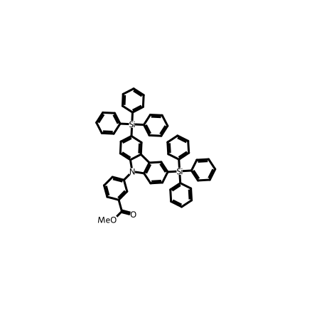 COC(=O)c1cccc(-n2c3ccc([Si](c4ccccc4)(c4ccccc4)c4ccccc4)cc3c3cc([Si](c4ccccc4)(c4ccccc4)c4ccccc4)ccc32)c1